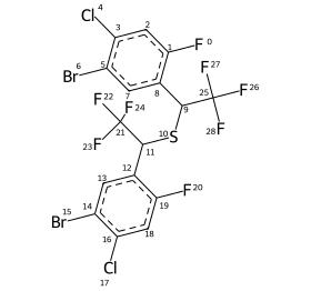 Fc1cc(Cl)c(Br)cc1C(SC(c1cc(Br)c(Cl)cc1F)C(F)(F)F)C(F)(F)F